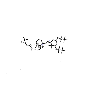 C[C@H](OCC1OC1(C)C)[C@H]1CC[C@H]2/C(=C/C=C3/CC(O[Si](C)(C)C(C)(C)C)CC(O[Si](C)(C)C(C)(C)C)C3(C)C)CCC[C@]12C